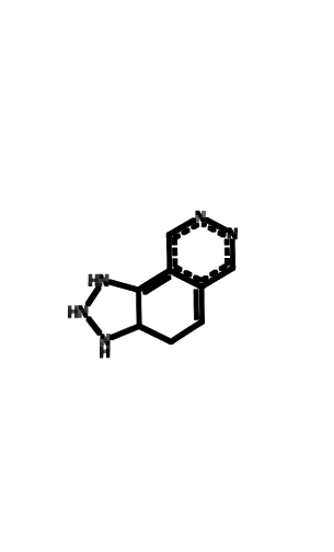 C1=c2cnncc2=C2NNNC2C1